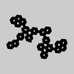 c1cncc(-c2ccccc2-c2cc(-c3ccc4ccc5cccc6ccc3c4c56)nc(-c3ccc(-c4cc(-c5ccc(-c6cc(-c7ccc8ccc9cccc%10ccc7c8c9%10)nc(-c7ccc(-c8ccc9ccccc9c8)cc7)n6)c(-c6cccnc6)c5)cc5ccccc45)cc3)n2)c1